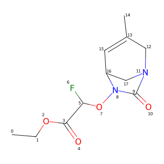 CCOC(=O)C(F)ON1C(=O)N2CC(C)=CC1C2